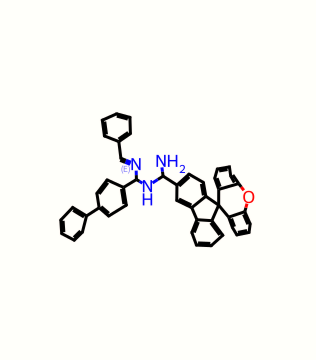 NC(NC(/N=C/c1ccccc1)c1ccc(-c2ccccc2)cc1)c1ccc2c(c1)-c1ccccc1C21c2ccccc2Oc2ccccc21